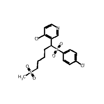 CS(=O)(=O)CCCCC(c1cnccc1Cl)S(=O)(=O)c1ccc(Cl)cc1